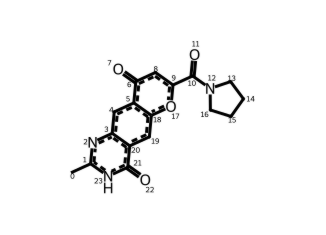 Cc1nc2cc3c(=O)cc(C(=O)N4CCCC4)oc3cc2c(=O)[nH]1